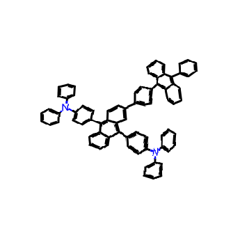 c1ccc(-c2c3ccccc3c(-c3ccc(-c4ccc5c(-c6ccc(N(c7ccccc7)c7ccccc7)cc6)c6ccccc6c(-c6ccc(N(c7ccccc7)c7ccccc7)cc6)c5c4)cc3)c3ccccc23)cc1